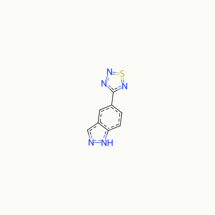 c1cc2[nH]ncc2cc1-c1nnsn1